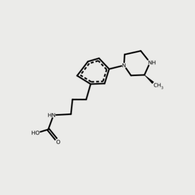 C[C@H]1CN(c2cccc(CCCNC(=O)O)c2)CCN1